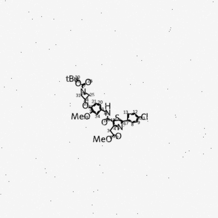 COC(=O)Cc1nc(-c2ccc(Cl)cc2)sc1C(=O)Nc1ccc(OC2CN(C(=O)OC(C)(C)C)C2)c(OC)c1